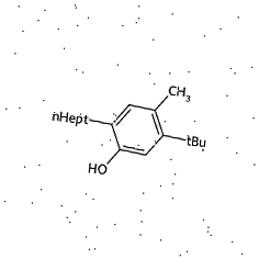 CCCCCCCc1cc(C)c(C(C)(C)C)cc1O